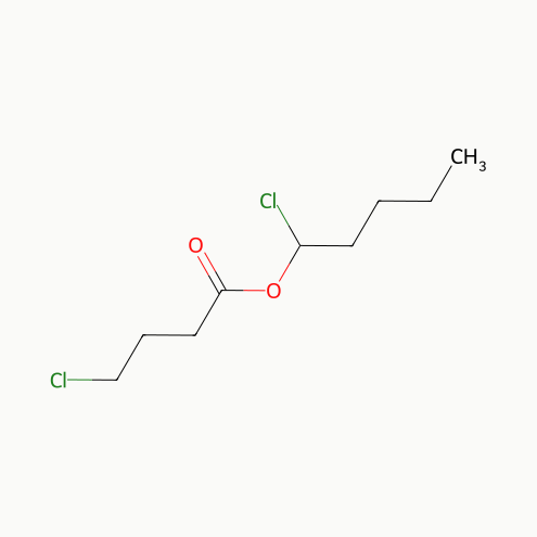 CCCCC(Cl)OC(=O)CCCCl